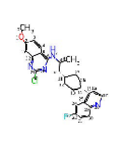 COc1ccc2c(NC(C)C[C@H]3CC[C@@H](c4ccnc5ccc(F)cc54)CC3)nc(Cl)nc2c1